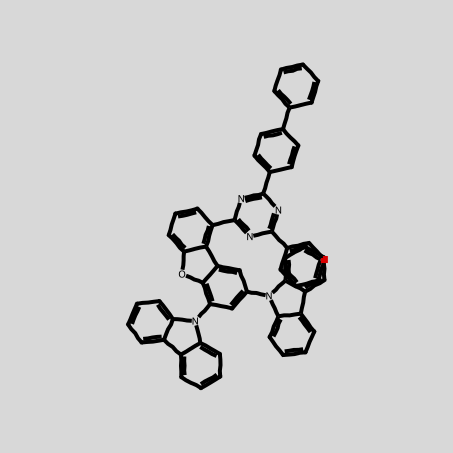 c1ccc(-c2ccc(-c3nc(-c4ccccc4)nc(-c4cccc5oc6c(-n7c8ccccc8c8ccccc87)cc(-n7c8ccccc8c8ccccc87)cc6c45)n3)cc2)cc1